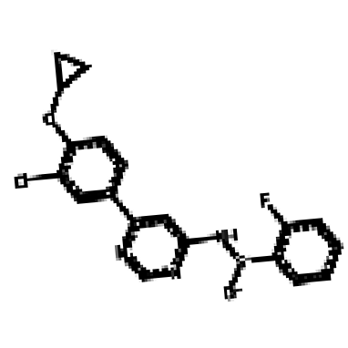 [O-][S+](Nc1cc(-c2ccc(OC3CC3)c(Cl)c2)ncn1)c1ccccc1F